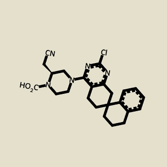 N#CC[C@H]1CN(c2nc(Cl)nc3c2CCC2(CCCc4ccccc42)C3)CCN1C(=O)O